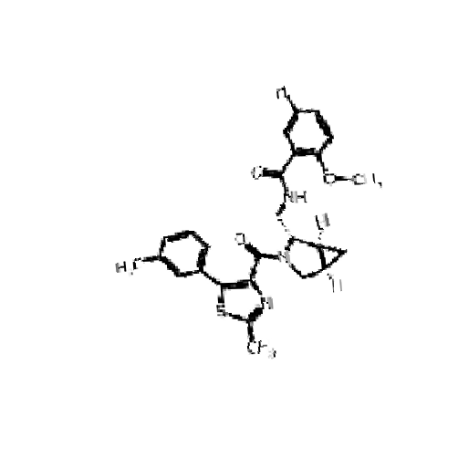 COc1ccc(Cl)cc1C(=O)NC[C@@H]1[C@H]2C[C@H]2CN1C(=O)c1nc(C)sc1-c1cccc(C)c1